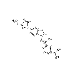 CCc1nc(-c2ccc3c(c2)CCC3NC(=O)c2cccc(C(=O)O)c2)no1